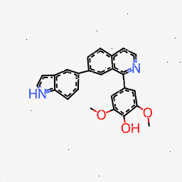 COc1cc(-c2nccc3ccc(-c4ccc5[nH]ccc5c4)cc23)cc(OC)c1O